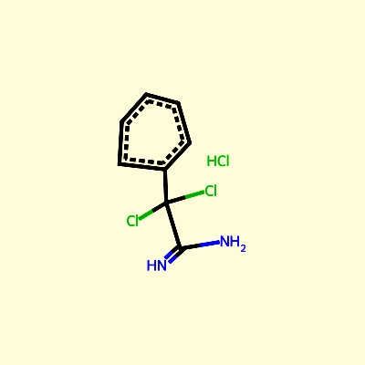 Cl.N=C(N)C(Cl)(Cl)c1ccccc1